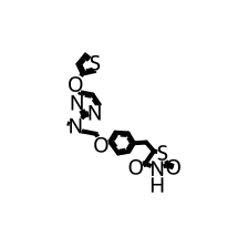 CN(CCOc1ccc(CC2SC(=O)NC2=O)cc1)c1nccc(Oc2ccsc2)n1